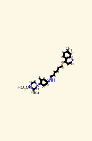 Cc1cc(NCCC=CCCSc2ccnc3cc(C(F)(F)F)ccc23)ccc1N1CCN(C(=O)O)C(C(C)(C)C)C1